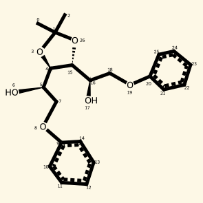 CC1(C)O[C@H]([C@H](O)COc2ccccc2)[C@@H]([C@H](O)COc2ccccc2)O1